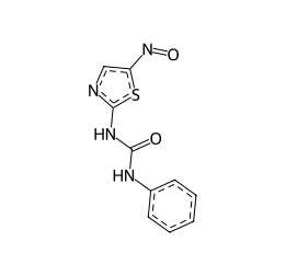 O=Nc1cnc(NC(=O)Nc2ccccc2)s1